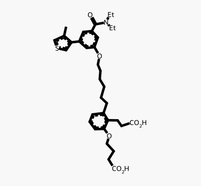 CCN(CC)C(=O)c1cc(OCCCCCCc2cccc(OCCCC(=O)O)c2CCC(=O)O)cc(-c2cscc2C)c1